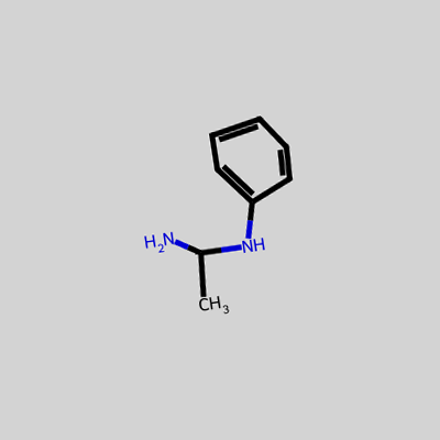 C[C](N)Nc1ccccc1